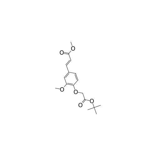 COC(=O)/C=C/c1ccc(OCC(=O)OC(C)(C)C)c(OC)c1